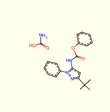 CC(C)(C)c1cc(NC(=O)Oc2ccccc2)n(-c2ccccc2)n1.NC(=O)O